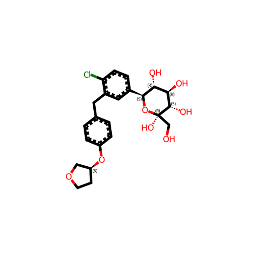 OC[C@@]1(O)O[C@@H](c2ccc(Cl)c(Cc3ccc(O[C@H]4CCOC4)cc3)c2)[C@H](O)[C@@H](O)[C@@H]1O